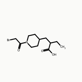 CCC(CC1CCN(C(=O)CBr)CC1)C(=O)O